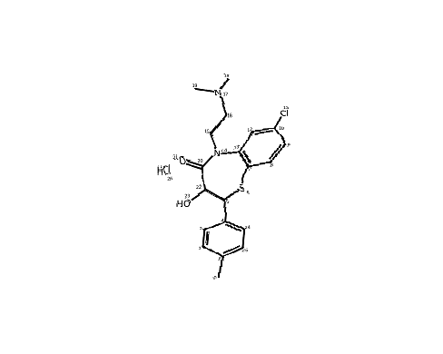 Cc1ccc(C2Sc3ccc(Cl)cc3N(CCN(C)C)C(=O)C2O)cc1.Cl